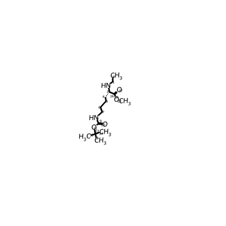 CCN[C@@H](CCCCNC(=O)OC(C)(C)C)C(=O)OC